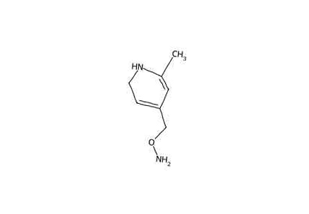 CC1=CC(CON)=CCN1